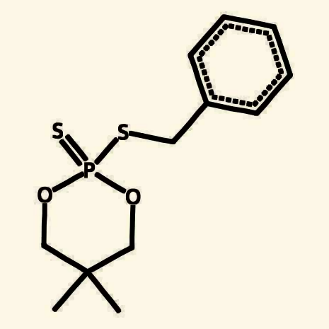 CC1(C)COP(=S)(SCc2ccccc2)OC1